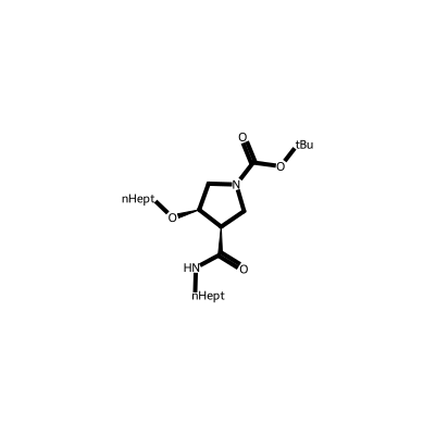 CCCCCCCNC(=O)[C@@H]1CN(C(=O)OC(C)(C)C)C[C@@H]1OCCCCCCC